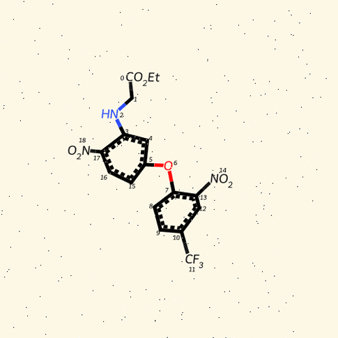 CCOC(=O)CNc1cc(Oc2ccc(C(F)(F)F)cc2[N+](=O)[O-])ccc1[N+](=O)[O-]